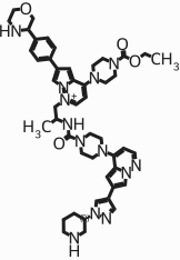 CCOC(=O)N1CCN(c2cc[n+](CC(C)NC(=O)N3CCN(c4ccnn5cc(-c6cnn([C@@H]7CCCNC7)c6)cc45)CC3)n3cc(-c4ccc(C5COCCN5)cc4)cc23)CC1